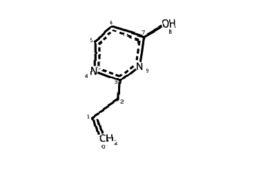 C=CCc1nccc(O)n1